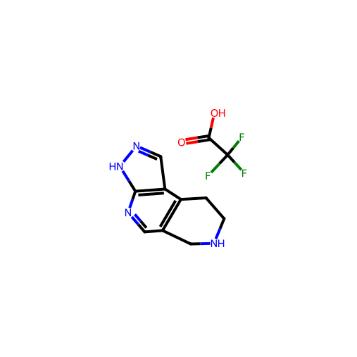 O=C(O)C(F)(F)F.c1nc2[nH]ncc2c2c1CNCC2